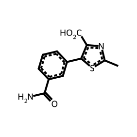 Cc1nc(C(=O)O)c(-c2cccc(C(N)=O)c2)s1